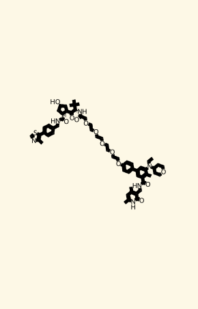 CCN(c1cc(-c2ccc(OCCOCCOCCOCCOCC(=O)N[C@H](C(=O)C3C[C@H](O)C[C@H]3C(=O)NCc3ccc(-c4scnc4C)cc3)C(C)(C)C)cc2)cc(C(=O)NCc2c(C)cc(C)[nH]c2=O)c1C)C1CCOCC1